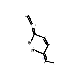 C=C=C(Br)/C=C\C(Br)=C/C